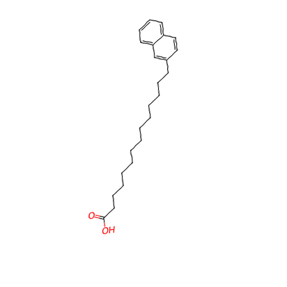 O=C(O)CCCCCCCCCCCCCc1ccc2ccccc2c1